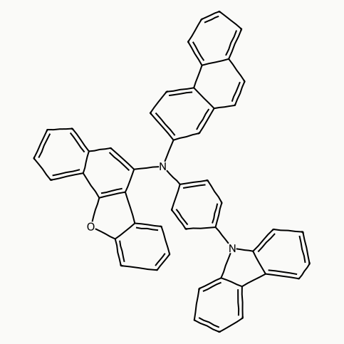 c1ccc2c(c1)ccc1cc(N(c3ccc(-n4c5ccccc5c5ccccc54)cc3)c3cc4ccccc4c4oc5ccccc5c34)ccc12